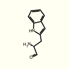 N[C@H](C=O)Cc1cc2ccccc2[nH]1